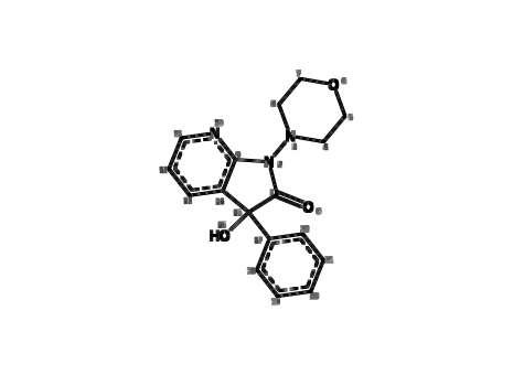 O=C1N(N2CCOCC2)c2ncccc2C1(O)c1ccccc1